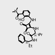 CC[C@@H](NC(=O)[C@H](Nc1c(Nc2cccc(C(=O)N(C)C)c2O)c(=O)c1=O)C(C)C)c1ccccc1